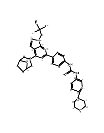 O=C(Nc1ccc(-c2nc(N3CC4CCC(C3)O4)c3cnn(CC(F)(F)F)c3n2)cc1)Nc1ccc(N2CCOCC2)nc1